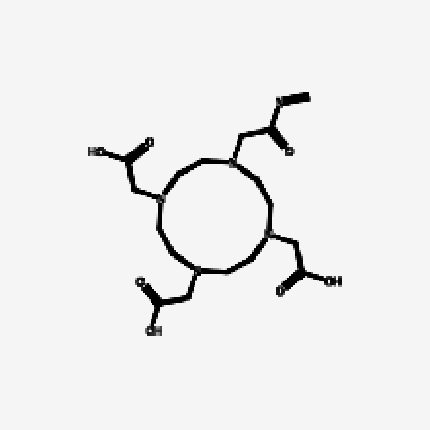 C=NC(=O)CN1CCN(CC(=O)O)CCN(CC(=O)O)CCN(CC(=O)O)CC1